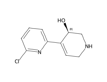 O[C@H]1CNCC=C1c1cccc(Cl)n1